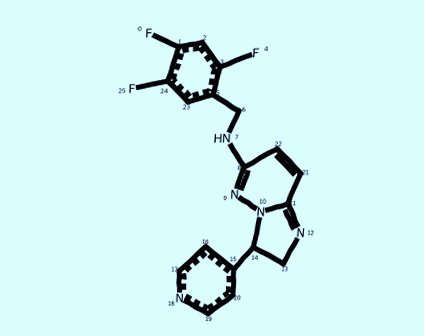 Fc1cc(F)c(CNC2=NN3C(=NCC3c3ccncc3)C=C2)cc1F